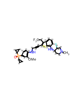 COc1cc(P(=O)(C2CC2)C2CC2)ccc1NCC#Cc1sc2c(N[C@@H]3CCN(C)CC3F)cccc2c1CC(F)(F)F